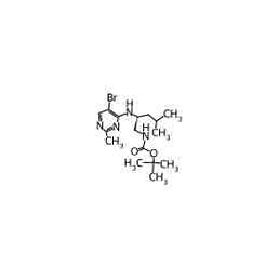 Cc1ncc(Br)c(N[C@H](CNC(=O)OC(C)(C)C)CC(C)C)n1